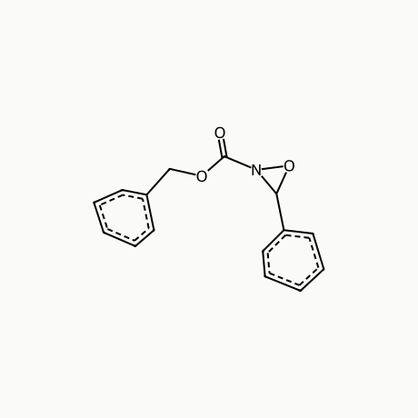 O=C(OCc1ccccc1)N1OC1c1ccccc1